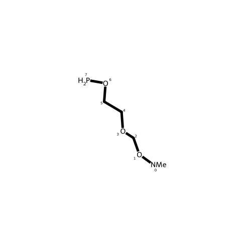 CNOCOCCOP